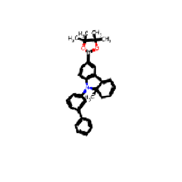 CC12CC=CC=C1c1cc(B3OC(C)(C)C(C)(C)O3)ccc1N2c1cccc(-c2ccccc2)c1